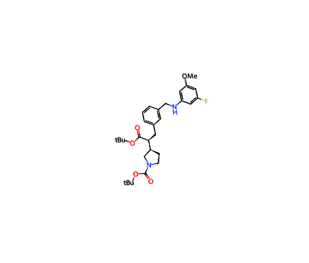 COc1cc(F)cc(NCc2cccc(C[C@H](C(=O)OC(C)(C)C)[C@H]3CCN(C(=O)OC(C)(C)C)C3)c2)c1